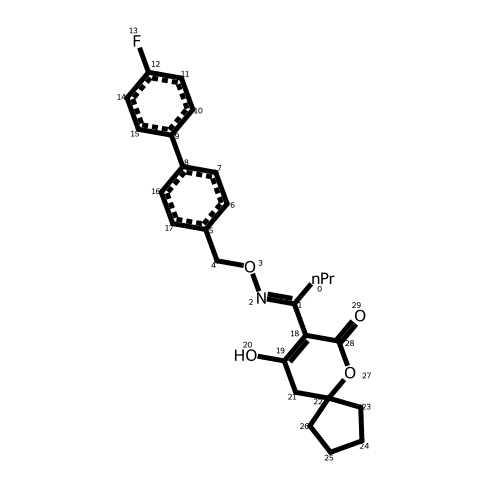 CCCC(=NOCc1ccc(-c2ccc(F)cc2)cc1)C1=C(O)CC2(CCCC2)OC1=O